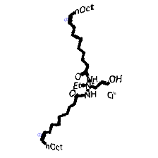 CCCCCCCC/C=C\CCCCCCCC(=O)N[N+](CC)(CCCO)NC(=O)CCCCCCC/C=C\CCCCCCCC.[Cl-]